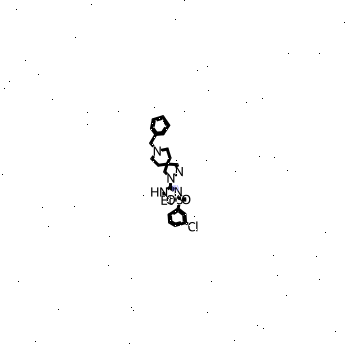 CCN/C(=N\S(=O)(=O)c1cccc(Cl)c1)N1CC2(C=N1)CCN(Cc1ccccc1)CC2